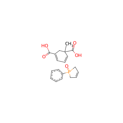 CC1(C(=O)O)C=CC=C(C(=O)O)C1.O=P1(c2ccccc2)CC=CC1